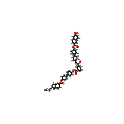 O=C(O)c1ccc2cc(C(=O)Oc3ccc(-c4ccc(OC(=O)c5cccc(C(=O)Oc6ccc(-c7ccc(OC(=O)c8ccc9cc(O)ccc9c8)cc7)cc6)c5)cc4)cc3)ccc2c1